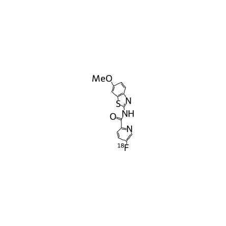 COc1ccc2nc(NC(=O)c3ccc([18F])cn3)sc2c1